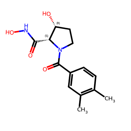 Cc1ccc(C(=O)N2CC[C@@H](O)[C@H]2C(=O)NO)cc1C